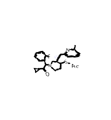 CC(=O)SC1CCN(C(C(=O)C2CC2)c2ccccc2F)C/C1=C/c1cccc(C)n1